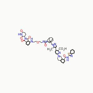 Cc1c(-c2ccc(N3CCc4cccc(C(=O)Nc5nc6ccccc6s5)c4C3)nc2C(=O)O)cnn1CC12CC3CC(C1)CC(C(=O)NCCOCCNc1cccc4c1C(=O)N(C1CCC(=O)NC1=O)C4=O)(C3)C2